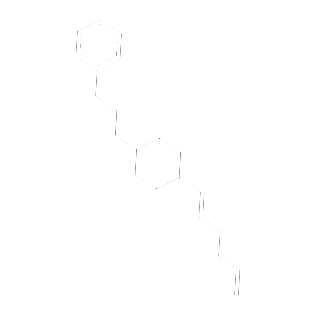 C=CCCC=CC1CCC(CCCc2ccccc2)CC1